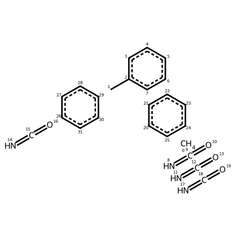 C.Cc1ccccc1.N=C=O.N=C=O.N=C=O.N=C=O.c1ccccc1.c1ccccc1